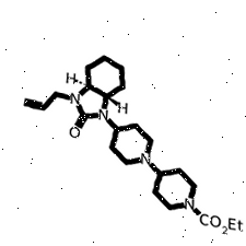 C=CCN1C(=O)N(C2CCN(C3CCN(C(=O)OCC)CC3)CC2)[C@H]2CCCC[C@@H]21